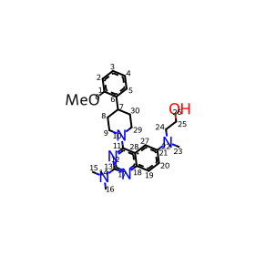 COc1ccccc1C1CCN(c2nc(N(C)C)nc3ccc(N(C)CCO)cc23)CC1